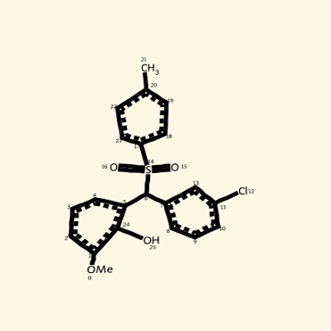 COc1cccc(C(c2cccc(Cl)c2)S(=O)(=O)c2ccc(C)cc2)c1O